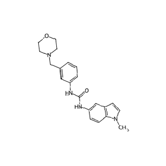 Cn1ccc2cc(NC(=O)Nc3cccc(CN4CCOCC4)c3)ccc21